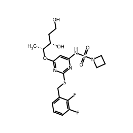 C[C@@H](Oc1cc(NS(=O)(=O)N2CCC2)nc(SCc2cccc(F)c2F)n1)[C@@H](O)CCO